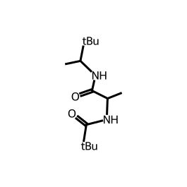 CC(NC(=O)C(C)(C)C)C(=O)NC(C)C(C)(C)C